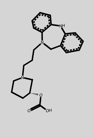 O=C(O)O[C@@H]1CCCN(CCCN2Cc3ccccc3Nc3ccccc32)C1